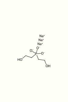 [Na+].[Na+].[Na+].[O-]P([O-])([O-])(CCO)CCO